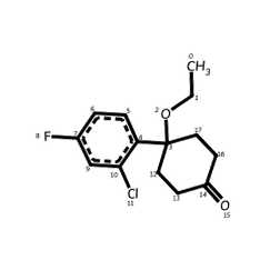 CCOC1(c2ccc(F)cc2Cl)CCC(=O)CC1